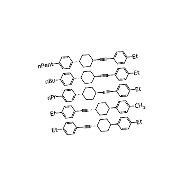 CCCCCc1ccc([C@H]2CC[C@H](C#Cc3ccc(CC)cc3)CC2)cc1.CCCCc1ccc([C@H]2CC[C@H](C#Cc3ccc(CC)cc3)CC2)cc1.CCCc1ccc([C@H]2CC[C@H](C#Cc3ccc(CC)cc3)CC2)cc1.CCc1ccc(C#C[C@H]2CC[C@H](c3ccc(C)cc3)CC2)cc1.CCc1ccc(C#C[C@H]2CC[C@H](c3ccc(CC)cc3)CC2)cc1